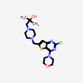 CC(C)(O)CN1CCN(Cc2cc3nc(Cl)nc(N4CCOCC4)c3s2)CC1